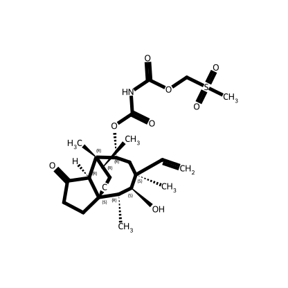 C=C[C@]1(C)C[C@@H](OC(=O)NC(=O)OCS(C)(=O)=O)[C@]2(C)[C@H](C)CC[C@]3(CCC(=O)[C@H]32)[C@@H](C)[C@@H]1O